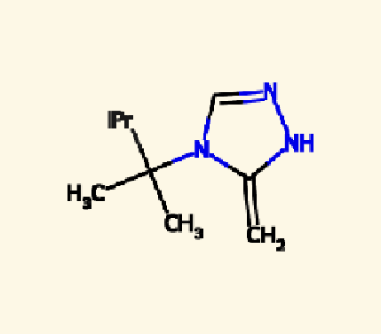 C=C1NN=CN1C(C)(C)C(C)C